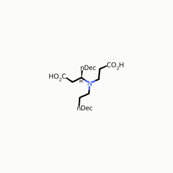 CCCCCCCCCCCCN(CCC(=O)O)[C@H](CCCCCCCCCC)CC(=O)O